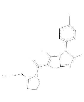 COC[C@@H]1CCCN1C(=O)C1=C(C(C)C)N2C(=NC(C)C2c2ccc(Cl)cc2)S1